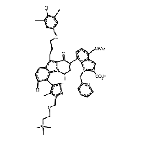 COc1ccc(N2C[C@@H](C)n3c(c(CCCOc4cc(C)c(Cl)c(C)c4)c4ccc(Cl)c(-c5c(C)nn(COCC[Si](C)(C)C)c5C)c43)C2=O)c2c1cc(C(=O)O)n2Cc1ccccn1